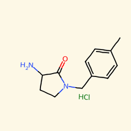 Cc1ccc(CN2CCC(N)C2=O)cc1.Cl